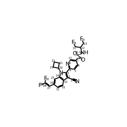 N#Cc1c(-c2ccc(S(=O)(=O)NC(CF)CF)cn2)n(C2CCC2)c2cc(C=C(F)F)ccc12